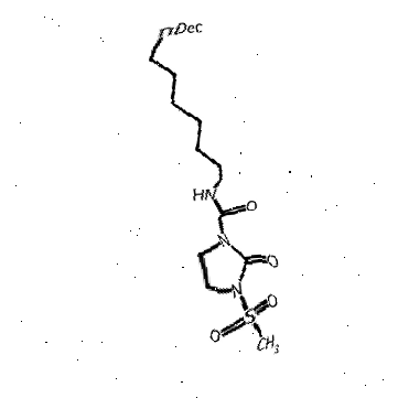 CCCCCCCCCCCCCCCCNC(=O)N1CCN(S(C)(=O)=O)C1=O